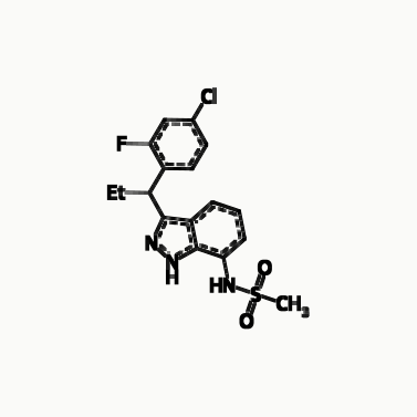 CCC(c1ccc(Cl)cc1F)c1n[nH]c2c(NS(C)(=O)=O)cccc12